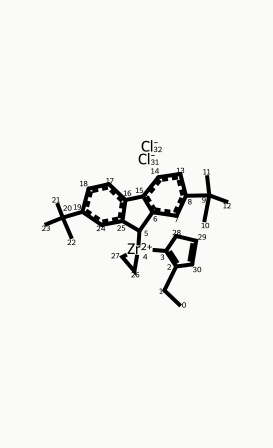 CCC1=[C]([Zr+2]2([CH]3c4cc(C(C)(C)C)ccc4-c4ccc(C(C)(C)C)cc43)[CH2][CH2]2)CC=C1.[Cl-].[Cl-]